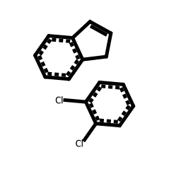 C1=Cc2ccccc2C1.Clc1ccccc1Cl